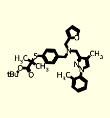 Cc1ccccc1-n1cc(C)c(CN(Cc2ccc(SC(C)(C)C(=O)OC(C)(C)C)cc2)Cc2ccco2)n1